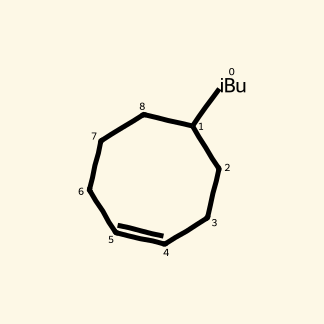 CCC(C)C1CCC=CCCC1